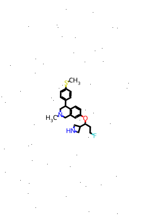 CSc1ccc(C2CN(C)Cc3cc(OC(CCF)C4CNC4)ccc32)cc1